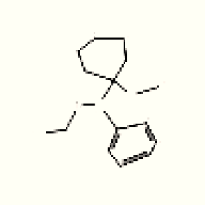 O=C(O)CNN(c1ccccc1)C1(OC(=O)O)CCCCC1